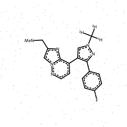 [2H]C([2H])([2H])n1cc(-c2ccnn3cc(CNC)nc23)c(-c2ccc(F)cc2)n1